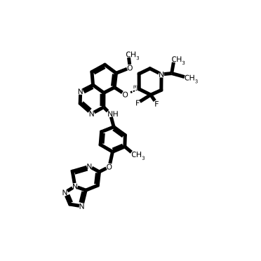 COc1ccc2ncnc(Nc3ccc(Oc4cc5ncnn5cn4)c(C)c3)c2c1O[C@@H]1CCN(C(C)C)CC1(F)F